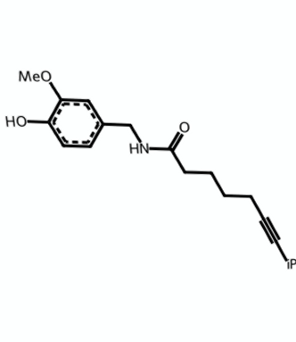 COc1cc(CNC(=O)CCCCC#CC(C)C)ccc1O